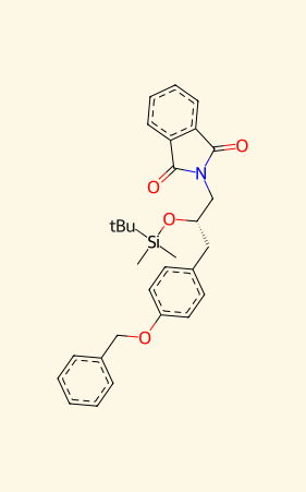 CC(C)(C)[Si](C)(C)O[C@@H](Cc1ccc(OCc2ccccc2)cc1)CN1C(=O)c2ccccc2C1=O